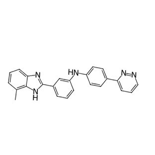 Cc1cccc2nc(-c3cccc(Nc4ccc(-c5cccnn5)cc4)c3)[nH]c12